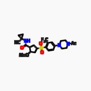 CO[C@@H]1CC(S(=O)(=O)c2ccc(N3CCN(C(C)=O)CC3)cc2C(F)(F)F)CC1C(=O)NC1(C#N)CC1